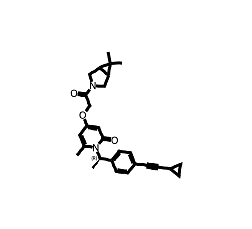 Cc1cc(OCC(=O)N2CC3C(C2)C3(C)C)cc(=O)n1[C@H](C)c1ccc(C#CC2CC2)cc1